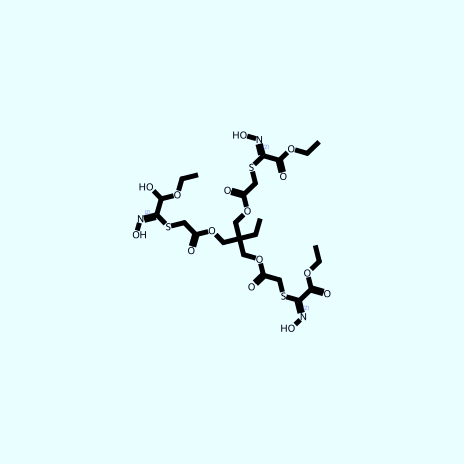 CCOC(=O)/C(=N/O)SCC(=O)OCC(CC)(COC(=O)CS/C(=N\O)C(=O)OCC)COC(=O)CS/C(=N\O)C(O)OCC